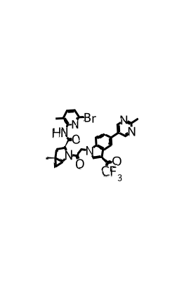 Cc1ncc(-c2ccc3c(c2)c(C(=O)C(F)(F)F)cn3CC(=O)N2C3C[C@]3(C)C[C@H]2C(=O)Nc2nc(Br)ccc2C)cn1